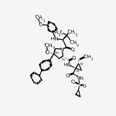 C=C[C@@H]1C[C@]1(NC(=O)[C@@H]1C[C@@](OC)(c2ccc(-c3ccccc3)cc2)CN1C(=O)C(Nc1cccc(OC)c1)C(C)(C)C)C(=O)NS(=O)(=O)C1CC1